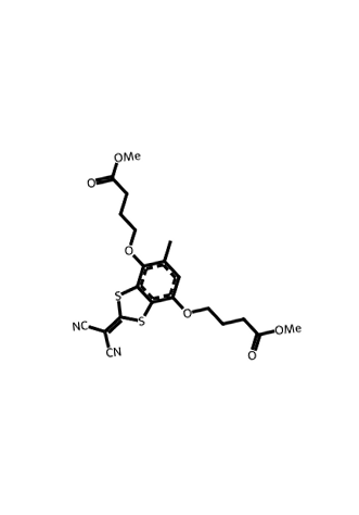 COC(=O)CCCOc1cc(C)c(OCCCC(=O)OC)c2c1SC(=C(C#N)C#N)S2